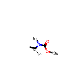 CCN(C(=O)OC(C)(C)C)[C@@H](C)C(C)C